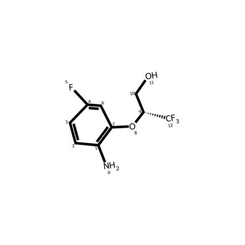 Nc1ccc(F)cc1O[C@H](CO)C(F)(F)F